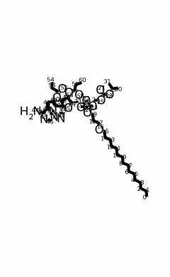 CCCCCCCCCCCCCCCCOCCCOP(=O)(OCOC(=O)OC(C)C)OC[C@H]1O[C@@](C#N)(c2ccc3c(N)ncnn23)[C@H](OC(=O)CC)[C@@H]1OC(=O)CC